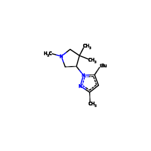 Cc1cc(C(C)(C)C)n(C2CN(C)CC2(C)C)n1